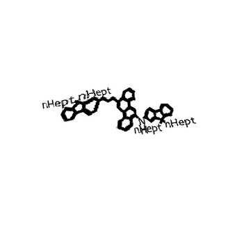 CCCCCCCC1(CCCCCCC)c2ccccc2-c2ccc(CCCc3cc4c5ccccc5c(Nc5ccc6c(c5)C(CCCCCCC)(CCCCCCC)c5ccccc5-6)cc4c4ccccc34)cc21